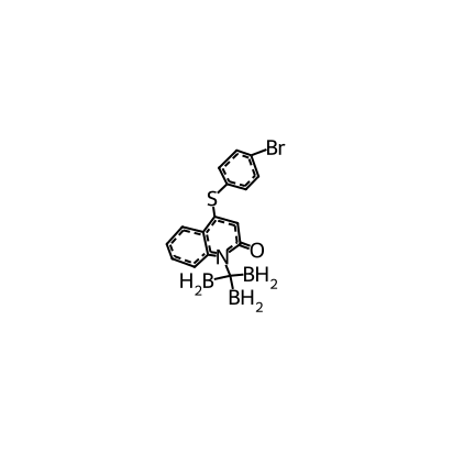 BC(B)(B)n1c(=O)cc(Sc2ccc(Br)cc2)c2ccccc21